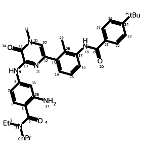 CCCN(CC)C(=O)c1ccc(Nc2nc(-c3cccc(NC(=O)c4ccc(C(C)(C)C)cc4)c3C)cn(C)c2=O)cc1N